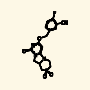 N#Cc1cc(COc2cc3n(c(=O)n2)CC2CS(=O)(=O)CCN32)ccc1F